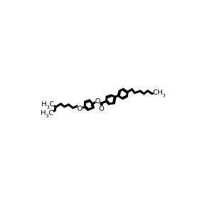 CCCCCCCc1ccc(-c2ccc(C(=O)Oc3ccc(OCCCCCC(C)CC)cc3)cc2)cc1